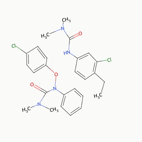 CCc1ccc(NC(=O)N(C)C)cc1Cl.CN(C)C(=O)N(Oc1ccc(Cl)cc1)c1ccccc1